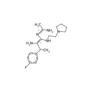 C/C(N)=N/C(NCCN1CCCC1)=C(\N)C(C)c1ccc(F)cc1